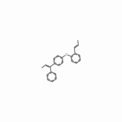 CC=Cc1ccccc1Oc1ccc(C(=CC)c2ccccc2)cc1